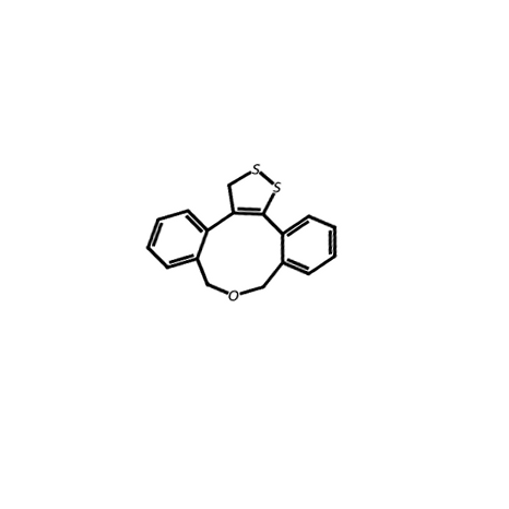 c1ccc2c(c1)COCc1ccccc1C1=C2CSS1